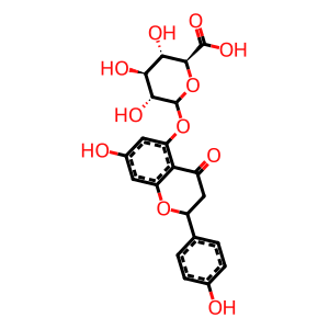 O=C1CC(c2ccc(O)cc2)Oc2cc(O)cc(OC3O[C@H](C(=O)O)[C@@H](O)[C@H](O)[C@H]3O)c21